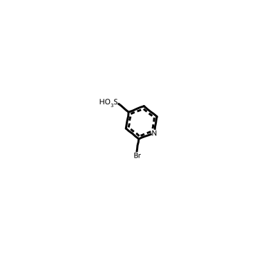 O=S(=O)(O)c1ccnc(Br)c1